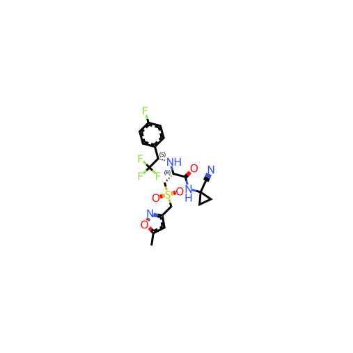 Cc1cc(CS(=O)(=O)C[C@H](N[C@@H](c2ccc(F)cc2)C(F)(F)F)C(=O)NC2(C#N)CC2)no1